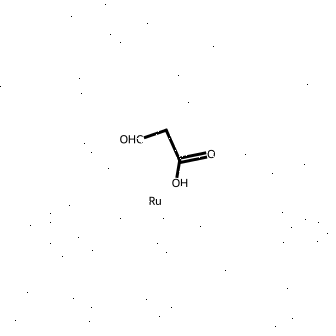 O=CCC(=O)O.[Ru]